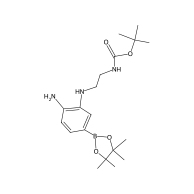 CC(C)(C)OC(=O)NCCNc1cc(B2OC(C)(C)C(C)(C)O2)ccc1N